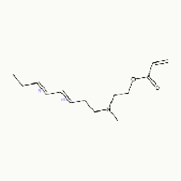 C=CC(=O)OCCN(C)CC/C=C/C=C/CC